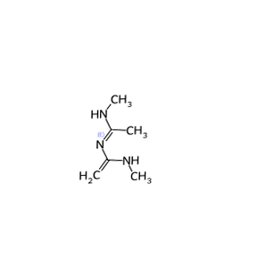 C=C(/N=C(\C)NC)NC